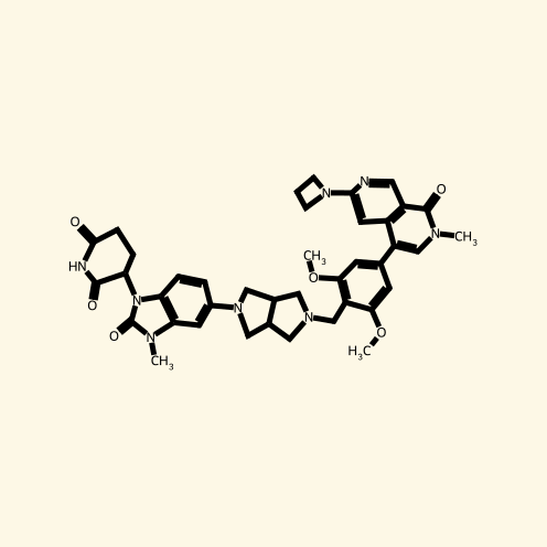 COc1cc(-c2cn(C)c(=O)c3cnc(N4CCC4)cc23)cc(OC)c1CN1CC2CN(c3ccc4c(c3)n(C)c(=O)n4C3CCC(=O)NC3=O)CC2C1